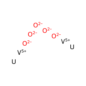 [O-2].[O-2].[O-2].[O-2].[O-2].[U].[U].[V+5].[V+5]